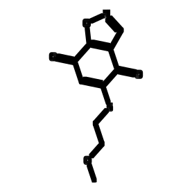 COCCSC1=CC(=O)c2oncc2C1=O